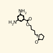 Nc1cc(N)cc(C(=O)OCCCCN2CCCC2=O)c1